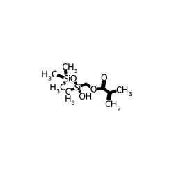 C=C(C)C(=O)OC[Si](C)(O)O[Si](C)(C)C